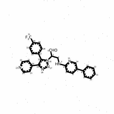 O=CC(CNc1ccc(-c2ccccc2)cn1)n1nnc(-c2ccncc2)c1-c1ccc(C(F)(F)F)cc1